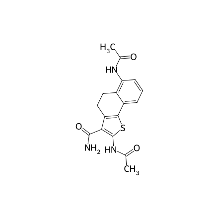 CC(=O)Nc1cccc2c1CCc1c-2sc(NC(C)=O)c1C(N)=O